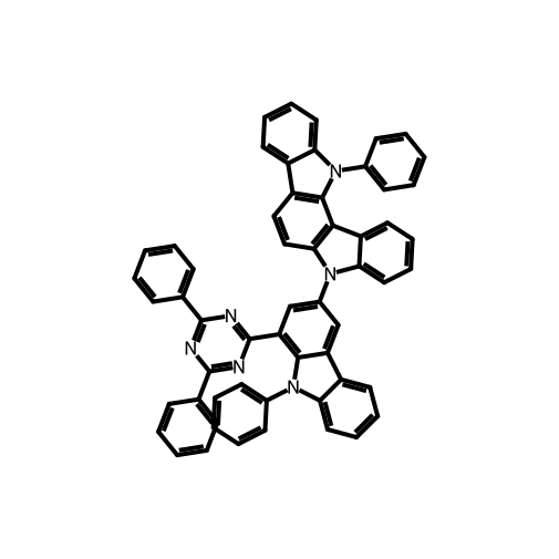 c1ccc(-c2nc(-c3ccccc3)nc(-c3cc(-n4c5ccccc5c5c4ccc4c6ccccc6n(-c6ccccc6)c45)cc4c5ccccc5n(-c5ccccc5)c34)n2)cc1